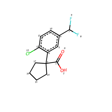 O=C(O)C1(c2cc(C(F)F)ccc2Cl)CCCC1